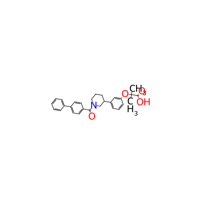 CC(C)(Oc1cccc(C2CCCN(C(=O)c3ccc(-c4ccccc4)cc3)C2)c1)C(=O)O